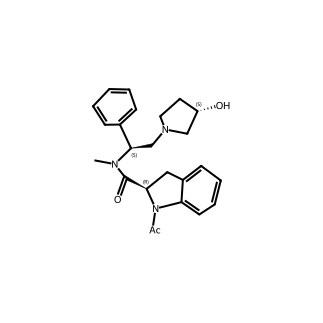 CC(=O)N1c2ccccc2C[C@@H]1C(=O)N(C)[C@H](CN1CC[C@H](O)C1)c1ccccc1